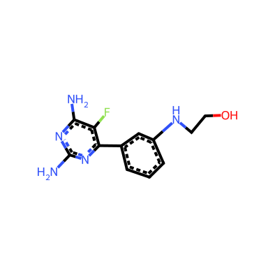 Nc1nc(N)c(F)c(-c2cccc(NCCO)c2)n1